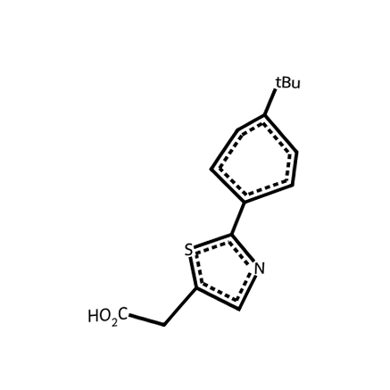 CC(C)(C)c1ccc(-c2ncc(CC(=O)O)s2)cc1